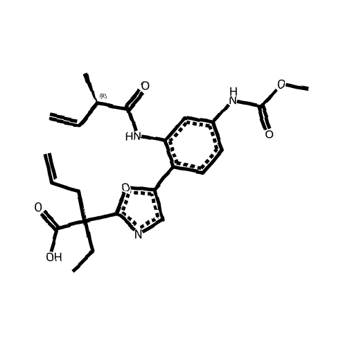 C=CCC(CC)(C(=O)O)c1ncc(-c2ccc(NC(=O)OC)cc2NC(=O)[C@H](C)C=C)o1